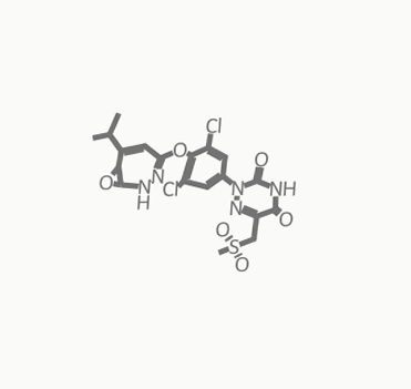 CC(C)C1=CC(Oc2c(Cl)cc(-n3nc(CS(C)(=O)=O)c(=O)[nH]c3=O)cc2Cl)=NNC2OC12